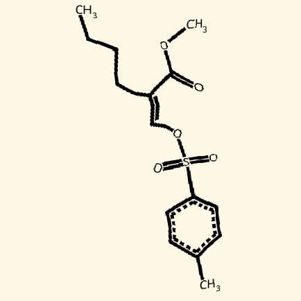 CCCCC(=COS(=O)(=O)c1ccc(C)cc1)C(=O)OC